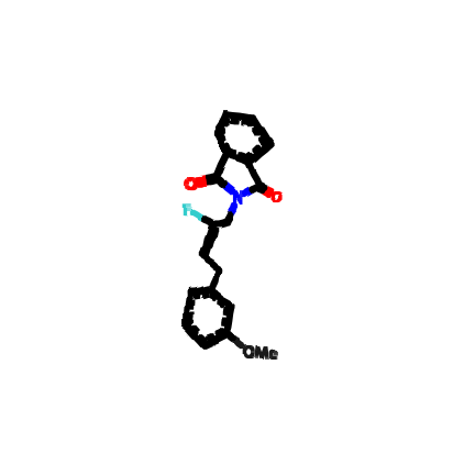 COc1cccc(C/C=C(/F)CN2C(=O)c3ccccc3C2=O)c1